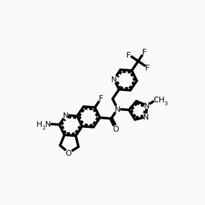 Cn1cc(N(Cc2ccc(C(F)(F)F)cn2)C(=O)c2cc3c4c(c(N)nc3cc2F)COC4)cn1